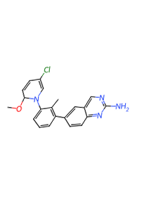 COC1C=CC(Cl)=CN1c1cccc(-c2ccc3nc(N)ncc3c2)c1C